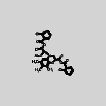 COC(CN(CC(OC)C(Cl)OC(=O)c1ccccc1Cl)c1cc(C)c(C)c(C)c1)C(Cl)OC(=O)c1ccccc1Cl